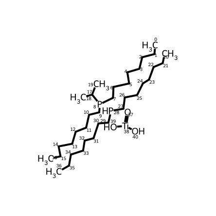 CCCCCCCCP(CCCCCCCC)C(C)C.CCCCCCCCPCCCCCCCC.[O]=[Ti]([OH])[OH]